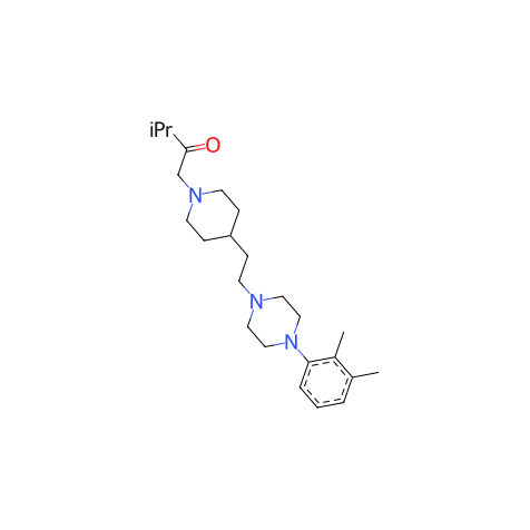 Cc1cccc(N2CCN(CCC3CCN(CC(=O)C(C)C)CC3)CC2)c1C